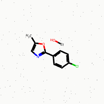 CCO.Cc1cnc(-c2ccc(Cl)cc2)o1